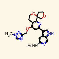 CC(=O)Nc1cc2c(-c3cc(OCc4ncn(C)n4)c4c(n3)C3(CCOC3)OCC4)c[nH]c2cn1